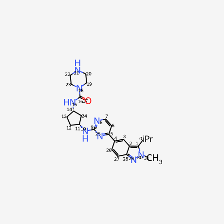 CC(C)c1c2cc(-c3ccnc(N[C@H]4CC[C@H](NC(=O)N5CCNCC5)C4)n3)ccc2nn1C